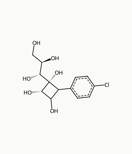 OC[C@@H](O)[C@@H](O)[C@@]1(O)C(c2ccc(Cl)cc2)C(O)[C@@H]1O